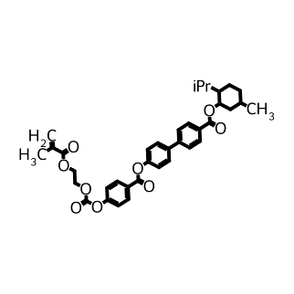 C=C(C)C(=O)OCCOC(=O)Oc1ccc(C(=O)Oc2ccc(-c3ccc(C(=O)OC4CC(C)CCC4C(C)C)cc3)cc2)cc1